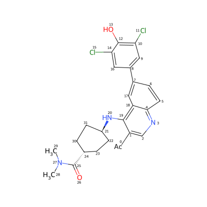 CC(=O)c1cnc2ccc(-c3cc(Cl)c(O)c(Cl)c3)cc2c1N[C@H]1CC[C@H](C(=O)N(C)C)CC1